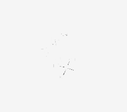 O.O.O.O.O.O[Si](O)(O)O.[NaH]